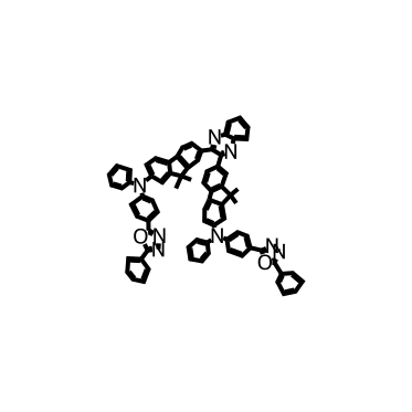 CC1(C)c2cc(-c3nc4ccccc4nc3-c3ccc4c(c3)C(C)(C)c3cc(N(c5ccccc5)c5ccc(-c6nnc(-c7ccccc7)o6)cc5)ccc3-4)ccc2-c2ccc(N(c3ccccc3)c3ccc(-c4nnc(-c5ccccc5)o4)cc3)cc21